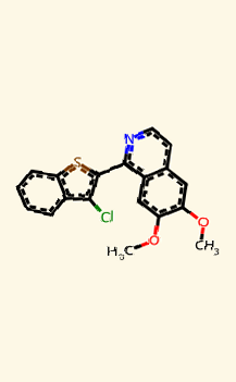 COc1cc2ccnc(-c3sc4ccccc4c3Cl)c2cc1OC